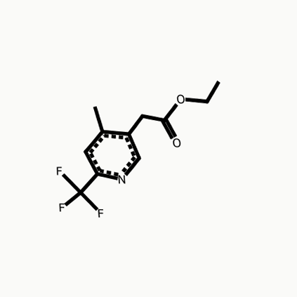 CCOC(=O)Cc1cnc(C(F)(F)F)cc1C